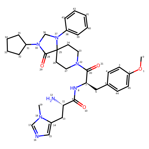 COc1ccc(C[C@@H](NC(=O)[C@@H](N)Cc2cncn2C)C(=O)N2CCC3(CC2)C(=O)N(C2CCCC2)CN3c2ccccc2)cc1